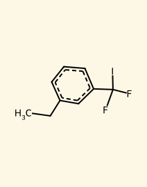 CCc1cccc(C(F)(F)I)c1